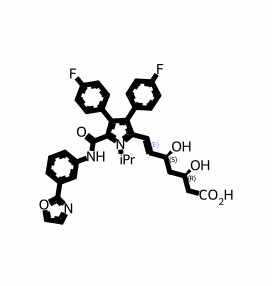 CC(C)n1c(/C=C/[C@@H](O)C[C@@H](O)CC(=O)O)c(-c2ccc(F)cc2)c(-c2ccc(F)cc2)c1C(=O)Nc1cccc(-c2ncco2)c1